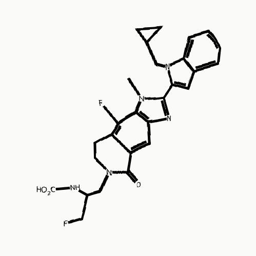 Cn1c(-c2cc3ccccc3n2CC2CC2)nc2cc3c(c(F)c21)CCN(CC(CF)NC(=O)O)C3=O